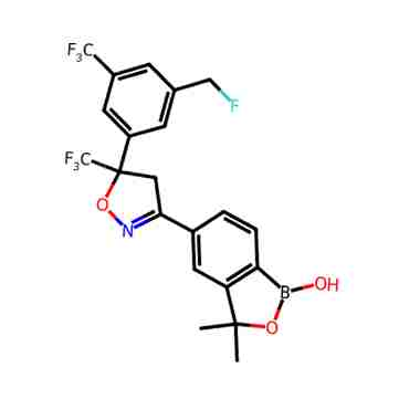 CC1(C)OB(O)c2ccc(C3=NOC(c4cc(CF)cc(C(F)(F)F)c4)(C(F)(F)F)C3)cc21